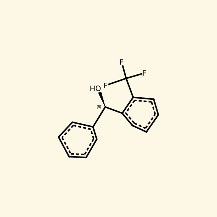 O[C@H](c1ccccc1)c1ccccc1C(F)(F)F